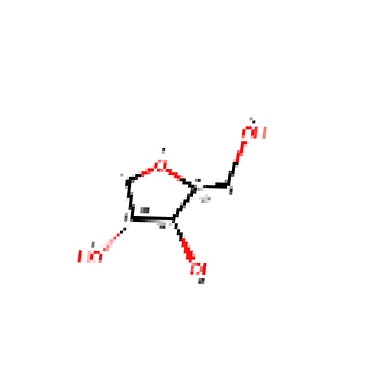 OC[C@@H]1O[CH][C@@H](O)[C@@H]1O